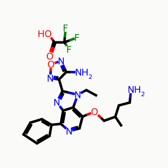 CCn1c(-c2nonc2N)nc2c(-c3ccccc3)ncc(OCC(C)CCN)c21.O=C(O)C(F)(F)F